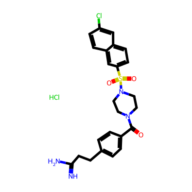 Cl.N=C(N)CCc1ccc(C(=O)N2CCN(S(=O)(=O)c3ccc4cc(Cl)ccc4c3)CC2)cc1